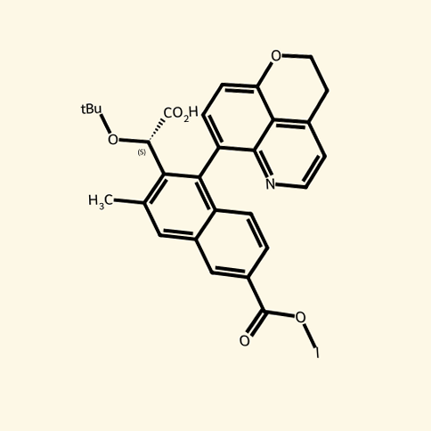 Cc1cc2cc(C(=O)OI)ccc2c(-c2ccc3c4c(ccnc24)CCO3)c1[C@H](OC(C)(C)C)C(=O)O